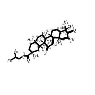 CCC(O)CNC(=O)[C@@]1(C)CC[C@]2(C)CC[C@@]3(C)[C@]4(C)CC[C@H]5C(C)(C)C(=O)C(C#N)=C[C@]5(C)C4=CC(=O)[C@]3(O)[C@@H]2C1